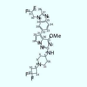 COc1nc(NC2CCN(C3CC(F)(F)C3)CC2)nn2ccc(-c3ccc4nc(C)n(CC(F)F)c4c3)c12